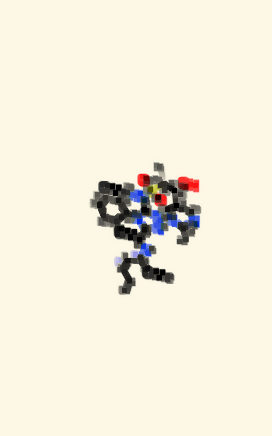 C=C/C=C\C(=N/Cc1nnc(NS(=O)(=O)[C@H](C)[C@H](O)c2cnc(C)nc2)n1-c1c(OC)cccc1OC)OC